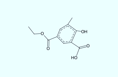 CCOC(=O)c1cc(C)c(O)c(C(=O)O)c1